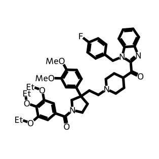 CCOc1cc(C(=O)N2CCC(CCN3CCC(C(=O)c4nc5ccccc5n4Cc4ccc(F)cc4)CC3)(c3ccc(OC)c(OC)c3)C2)cc(OCC)c1OCC